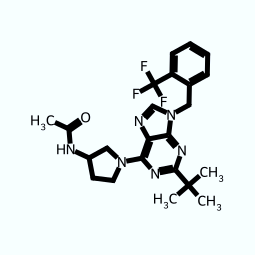 CC(=O)NC1CCN(c2nc(C(C)(C)C)nc3c2ncn3Cc2ccccc2C(F)(F)F)C1